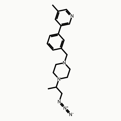 Cc1cncc(-c2cccc(CN3CCN(C(C)CN=[N+]=[N-])CC3)c2)c1